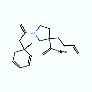 C=CCCC1(C(=C)NC)CCN(C(=C)CC2(C)C=CC=CC2)C1